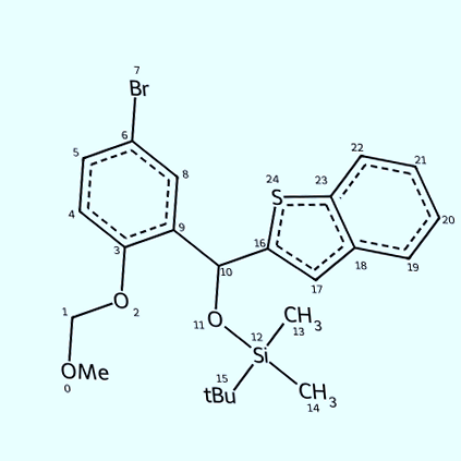 COCOc1ccc(Br)cc1C(O[Si](C)(C)C(C)(C)C)c1cc2ccccc2s1